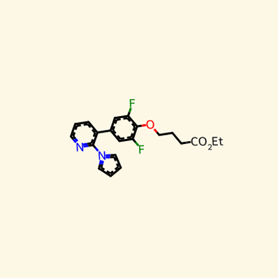 CCOC(=O)CCCOc1c(F)cc(-c2cccnc2-n2cccc2)cc1F